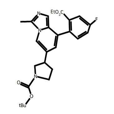 CCOC(=O)c1cc(F)ccc1-c1cc(C2CCN(C(=O)OC(C)(C)C)C2)cn2c(C)ncc12